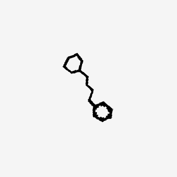 [c]1ccc(CCCCC2CCCCC2)cc1